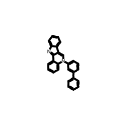 c1ccc(-c2cccc(-n3cc4c5ccccc5nc-4c4ccccc43)c2)cc1